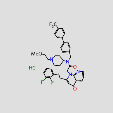 COCCN1CCC(N(Cc2ccc(-c3ccc(C(F)(F)F)cc3)cc2)C(=O)Cn2c(CCc3cccc(F)c3F)cc(=O)c3cccnc32)CC1.Cl